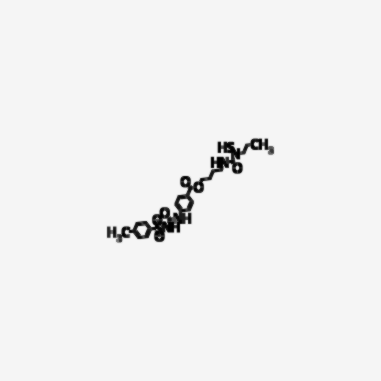 CCCN(S)C(=O)NCCCCOC(=O)c1ccc(NC(=O)NS(=O)(=O)c2ccc(C)cc2)cc1